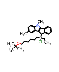 CC[Si](Cl)(CCCCCCOC(C)(C)C)C1c2ccccc2-c2c1c1cc(C)ccc1n2C